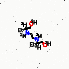 [2H]OC[C@@]([2H])(CC)N([2H])CCN([2H])[C@]([2H])(CC)CO[2H]